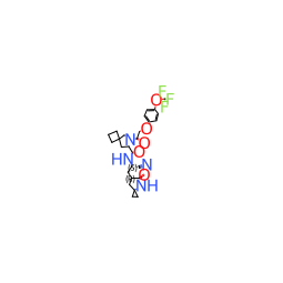 N#C[C@H](C[C@@H]1CC2(CC2)NC1=O)NC(=O)C1CC2(CCC2)CN1C(=O)COc1ccc(OC(F)(F)F)cc1